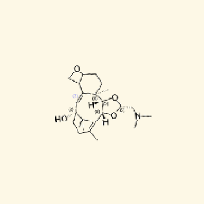 CC1=C2[C@H]3O[C@@H](CN(C)C)O[C@H]3[C@]3(C)CCC4OCC4/C3=C/[C@](O)(CC1)C2(C)C